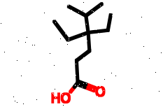 CCC(CC)(CCC(=O)O)C(C)C